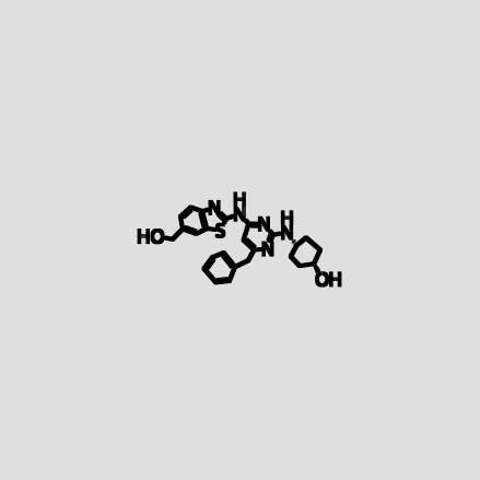 OCc1ccc2nc(Nc3cc(Cc4ccccc4)nc(N[C@H]4CC[C@H](O)CC4)n3)sc2c1